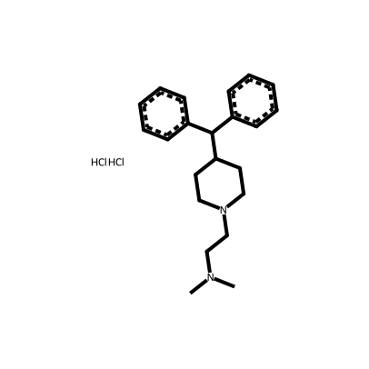 CN(C)CCN1CCC(C(c2ccccc2)c2ccccc2)CC1.Cl.Cl